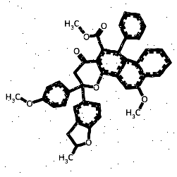 COC(=O)c1c2c(c3cc(OC)c4ccccc4c3c1-c1ccccc1)OC(c1ccc(OC)cc1)(c1ccc3c(c1)CC(C)O3)CC2=O